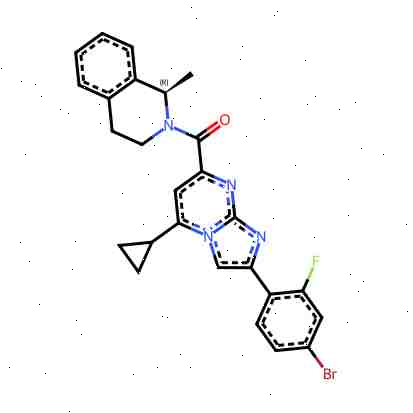 C[C@@H]1c2ccccc2CCN1C(=O)c1cc(C2CC2)n2cc(-c3ccc(Br)cc3F)nc2n1